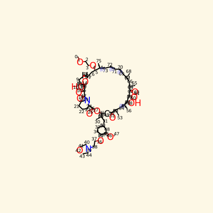 COCCOC1C[C@@H]2CC[C@@H](C)[C@@](O)(O2)C(=O)C(=O)N2CCCCC2C(=O)O[C@H]([C@H](C)C[C@@H]2CC[C@@H](OCCN3CCOCC3)[C@H](OC)C2)CC(=O)[C@H](C)/C=C(\C)[C@@H](O)[C@@H](OC)C(=O)[C@H](C)C[C@H](C)/C=C/C=C/C=C/1C